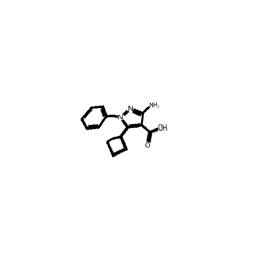 Nc1nn(-c2ccccc2)c(C2CCC2)c1C(=O)O